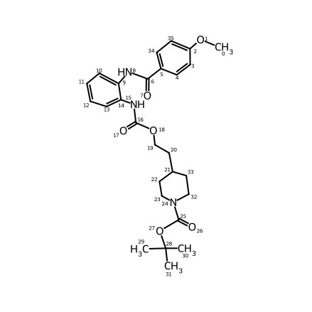 COc1ccc(C(=O)Nc2ccccc2NC(=O)OCCC2CCN(C(=O)OC(C)(C)C)CC2)cc1